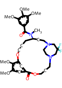 COc1cc(C(=O)N(C)[C@@H]2CCCOc3cc(cc(OC)c3OC)C(=O)OCCCN3CCN(CC2)CC(F)(F)C3)cc(OC)c1OC